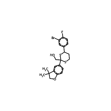 CC1(C)COc2ccc(C3(CO)SCCC(c4ccc(F)c(Br)c4)S3)cc21